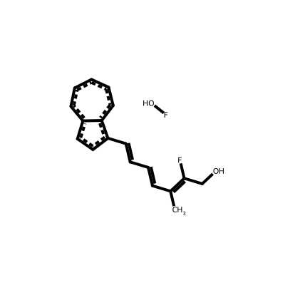 CC(C=CC=Cc1ccc2cccccc1-2)=C(F)CO.OF